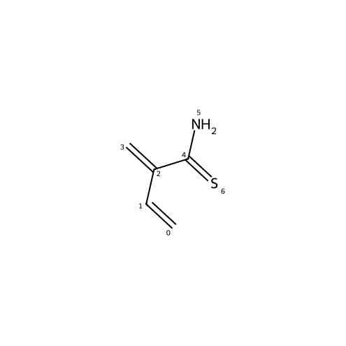 C=CC(=C)C(N)=S